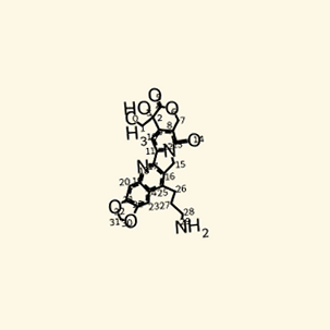 CC[C@@]1(O)C(=O)OCc2c1cc1n(c2=O)Cc2c-1nc1cc3c(cc1c2CCCN)OCO3